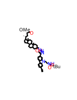 C#Cc1ccc2c3ccc(-c4cn(CC5(O)CCC6(C)C(CCC7C6CCC6(C)C7CCC6[C@H](C)CCC(=O)OC)C5)nn4)cc3n(CCNC(=O)OC(C)(C)C)c2c1